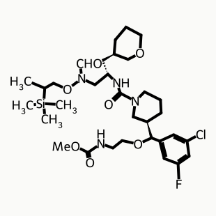 COC(=O)NCCOC(c1cc(F)cc(Cl)c1)[C@@H]1CCCN(C(=O)N[C@@H](C[C@H]2CCCOC2)CN(C=O)OCC(C)[Si](C)(C)C)C1